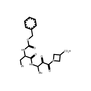 CCC(C)C(NC(=O)C(CC(C)C)NC(=O)OCc1ccccc1)C(=O)C(=O)N1CC(C(=O)O)C1